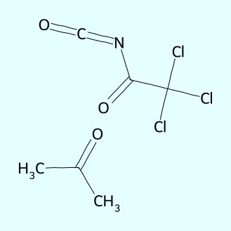 CC(C)=O.O=C=NC(=O)C(Cl)(Cl)Cl